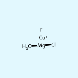 [CH3][Mg][Cl].[Cu+].[I-]